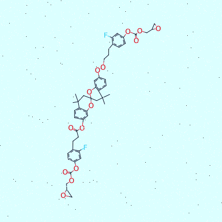 CC1(C)CC2(CC(C)(C)c3ccc(OC(=O)CCc4ccc(OC(=O)OCC5CO5)cc4F)cc3O2)Oc2cc(OOCCCc3ccc(OC(=O)OCC4CO4)cc3F)ccc21